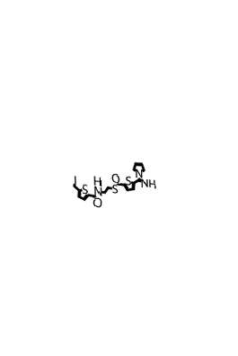 N=C(c1ccc(C(=O)SCCNC(=O)c2ccc(CI)s2)s1)N1CC=CC1